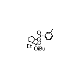 CCC1(C(=O)OCC(C)C)CCCC1OC(=O)c1cccc(C)c1